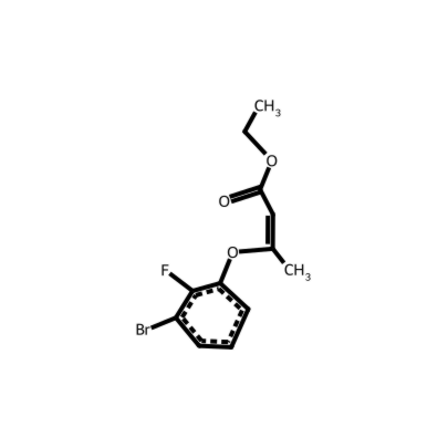 CCOC(=O)/C=C(/C)Oc1cccc(Br)c1F